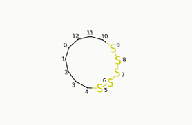 C1CCCCSSSSSCCC1